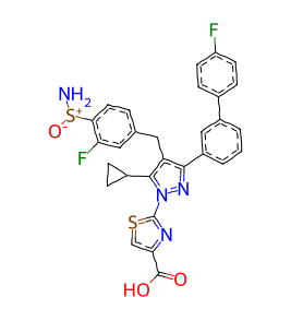 N[S+]([O-])c1ccc(Cc2c(-c3cccc(-c4ccc(F)cc4)c3)nn(-c3nc(C(=O)O)cs3)c2C2CC2)cc1F